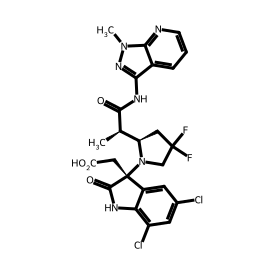 C[C@@H](C(=O)Nc1nn(C)c2ncccc12)[C@H]1CC(F)(F)CN1[C@@]1(CC(=O)O)C(=O)Nc2c(Cl)cc(Cl)cc21